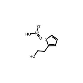 O=[N+]([O-])O.OCCc1cccs1